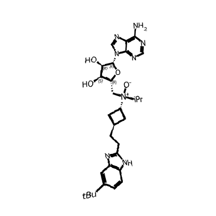 CC(C)[N+]([O-])(C[C@H]1O[C@@H](n2cnc3c(N)ncnc32)[C@H](O)[C@@H]1O)[C@H]1C[C@H](CCc2nc3cc(C(C)(C)C)ccc3[nH]2)C1